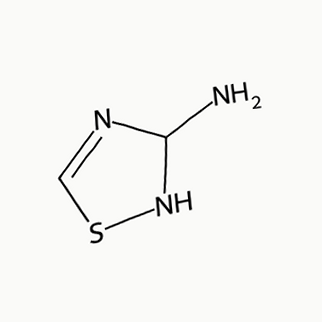 NC1N=CSN1